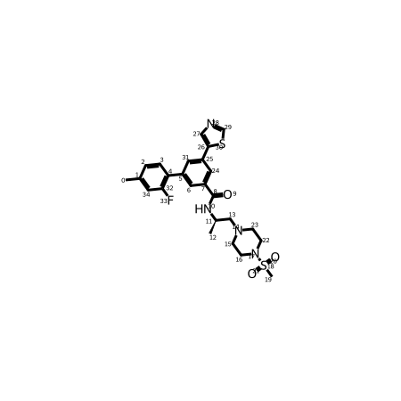 Cc1ccc(-c2cc(C(=O)N[C@H](C)CN3CCN(S(C)(=O)=O)CC3)cc(-c3cncs3)c2)c(F)c1